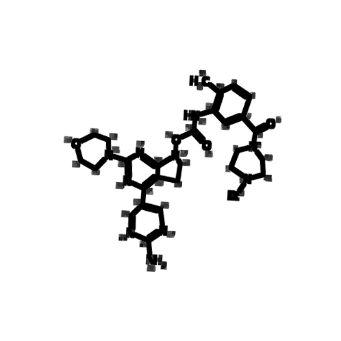 CCN1CCN(C(=O)c2ccc(C)c(NC(=O)ON3CCc4c(-c5cnc(N)nc5)nc(N5CCOCC5)nc43)c2)CC1